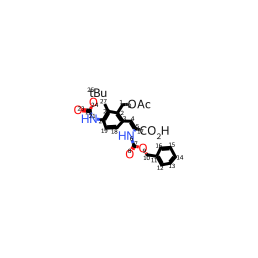 CC(=O)OCc1c(C=C(NC(=O)OCc2ccccc2)C(=O)O)ccc(NC(=O)OC(C)(C)C)c1C